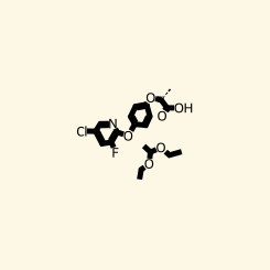 CCOC(C)OCC.C[C@@H](Oc1ccc(Oc2ncc(Cl)cc2F)cc1)C(=O)O